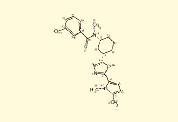 Cc1ncc(-c2nnc([C@H]3CCC[C@@H](N(C)C(=O)c4cccc(Cl)c4)C3)o2)n1C